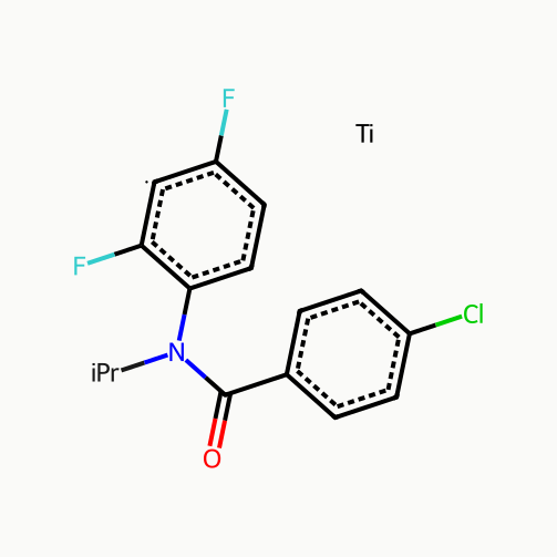 CC(C)N(C(=O)c1ccc(Cl)cc1)c1ccc(F)[c]c1F.[Ti]